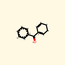 O=C(C1=CCCC=C1)c1ccccc1